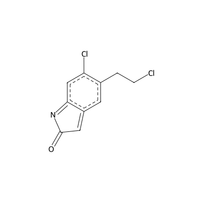 O=C1C=c2cc(CCCl)c(Cl)cc2=N1